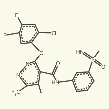 Cc1c(C(F)(F)F)nnc(Oc2cc(F)c(F)cc2Cl)c1C(=O)Nc1cccc(S(C)(=N)=O)c1